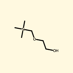 C[Si](C)(C)COCCO